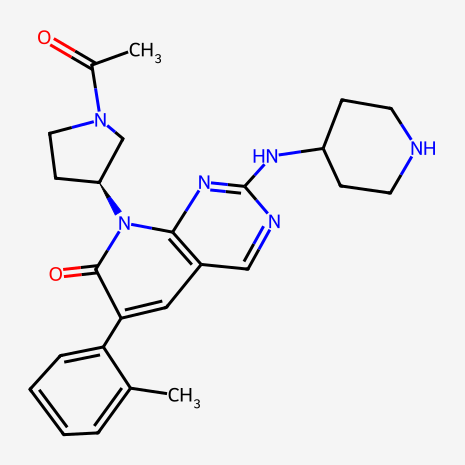 CC(=O)N1CC[C@H](n2c(=O)c(-c3ccccc3C)cc3cnc(NC4CCNCC4)nc32)C1